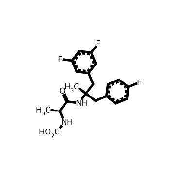 C[C@H](NC(=O)O)C(=O)NC(C)(Cc1ccc(F)cc1)Cc1cc(F)cc(F)c1